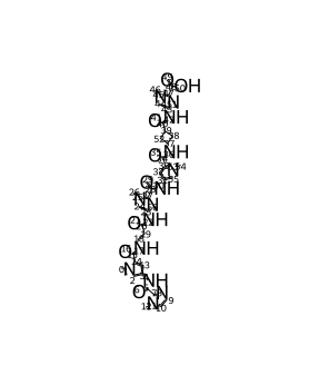 Cn1cc(NC(=O)c2nccn2C)cc1C(=O)NCCC(=O)Nc1cn(C)c(C(=O)Nc2cc(C(=O)NC3CC(C(=O)Nc4cn(C)c(C(=O)O)n4)C3)n(C)c2)n1